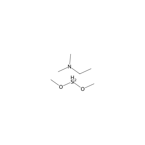 CCN(C)C.CO[SiH2]OC